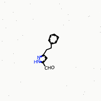 O=Cc1cc(CCc2ccccc2)n[nH]1